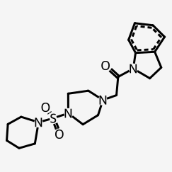 O=C(CN1CCN(S(=O)(=O)N2CCCCC2)CC1)N1CCc2ccccc21